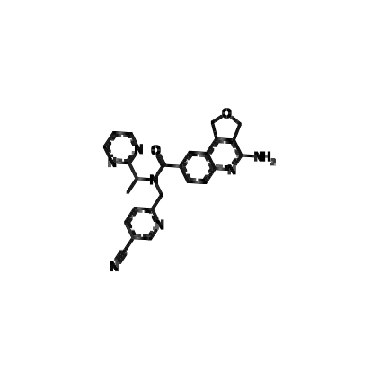 CC(c1ncccn1)N(Cc1ccc(C#N)cn1)C(=O)c1ccc2nc(N)c3c(c2c1)COC3